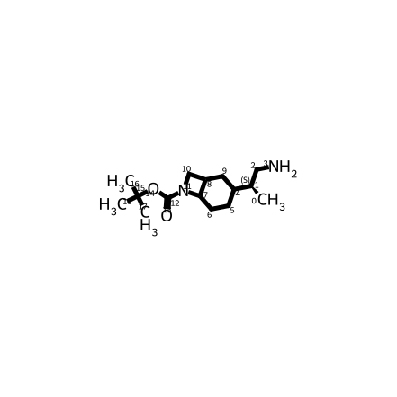 C[C@H](CN)C1CCC2C(C1)CN2C(=O)OC(C)(C)C